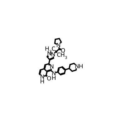 CC(C)(C(=O)N1CCCC1)n1cc(-c2cc3cc[nH]c(=O)c3c(Nc3ccc(C4CCNCC4)cc3)n2)cn1